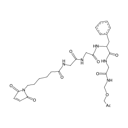 CC(=O)COCNC(=O)CNC(=O)C(Cc1ccccc1)NC(=O)CNC(=O)CNC(=O)CCCCCN1C(=O)C=CC1=O